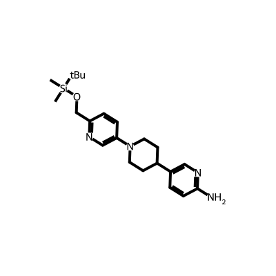 CC(C)(C)[Si](C)(C)OCc1ccc(N2CCC(c3ccc(N)nc3)CC2)cn1